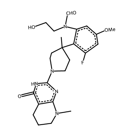 COc1cc(F)c(C2(C)CCN(c3nc4c(c(=O)[nH]3)CCCN4C)CC2)c(N(C=O)CCO)c1